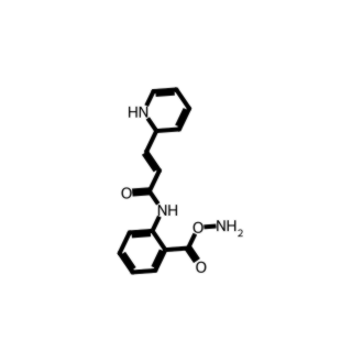 NOC(=O)c1ccccc1NC(=O)/C=C/C1C=CC=CN1